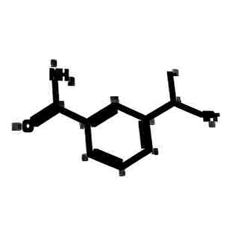 CC(C)C(C)c1cccc(C(N)=O)c1